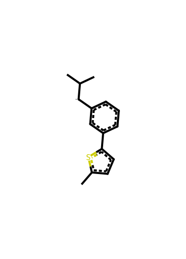 Cc1ccc(-c2cccc([CH]C(C)C)c2)s1